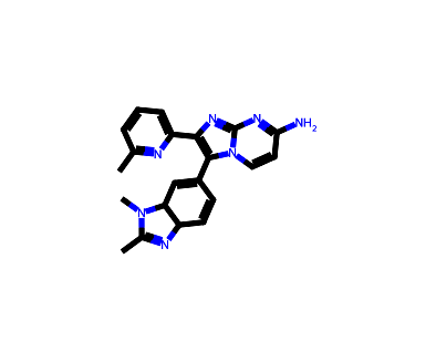 CC1=NC2C=CC(c3c(-c4cccc(C)n4)nc4nc(N)ccn34)=CC2N1C